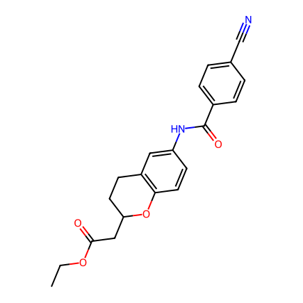 CCOC(=O)CC1CCc2cc(NC(=O)c3ccc(C#N)cc3)ccc2O1